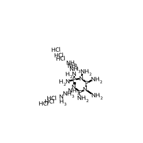 Cl.Cl.Cl.Cl.Cl.Cl.N.N.N.N.N.N.NN1P(N)N=P(N)(N)N(N)P1N